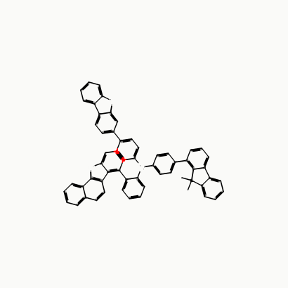 CC1(C)c2ccccc2-c2cccc(-c3ccc(N(c4ccc(-c5ccc6c(c5)sc5ccccc56)cc4)c4ccccc4-c4cccc5oc6c7ccccc7ccc6c45)cc3)c21